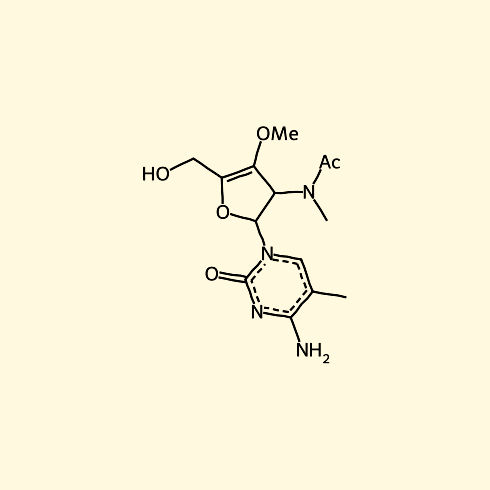 COC1=C(CO)OC(n2cc(C)c(N)nc2=O)C1N(C)C(C)=O